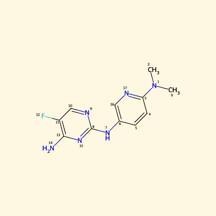 CN(C)c1ccc(Nc2ncc(F)c(N)n2)cn1